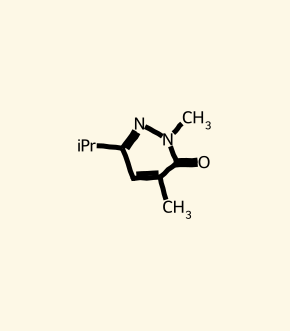 Cc1cc(C(C)C)nn(C)c1=O